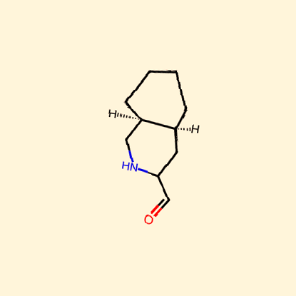 O=CC1C[C@@H]2CCCC[C@@H]2CN1